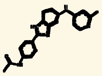 CC(=O)Nc1ccc(-c2nc3cc(Nc4ccnc(C)c4)ccc3[nH]2)cc1